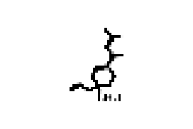 C=CCC1(C=O)CC=C(C(C)C=C(C)C)CC1